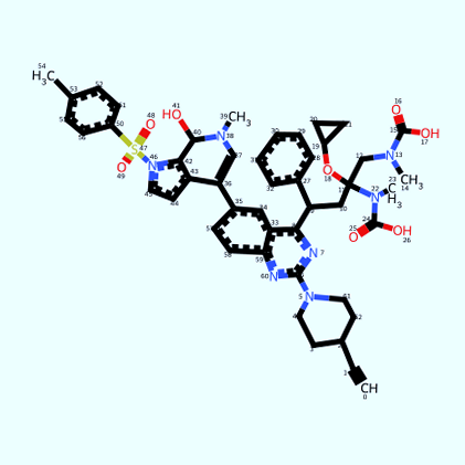 C#CC1CCN(c2nc(C(CC(CN(C)C(=O)O)(OC3CC3)N(C)C(=O)O)c3ccccc3)c3cc(C4=CN(C)C(O)c5c4ccn5S(=O)(=O)c4ccc(C)cc4)ccc3n2)CC1